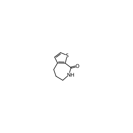 O=C1NCCCc2ccsc21